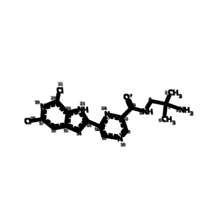 CC(C)(N)CNC(=O)c1cncc(-c2cc3cc(Cl)nc(Cl)c3[nH]2)n1